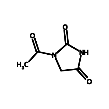 CC(=O)N1CC(=O)NC1=O